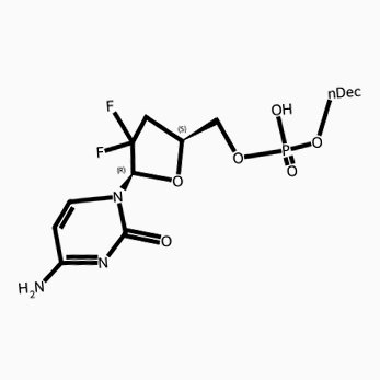 CCCCCCCCCCOP(=O)(O)OC[C@@H]1CC(F)(F)[C@H](n2ccc(N)nc2=O)O1